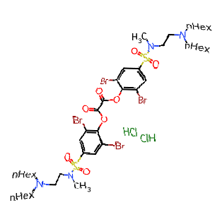 CCCCCCN(CCCCCC)CCN(C)S(=O)(=O)c1cc(Br)c(OC(=O)C(=O)Oc2c(Br)cc(S(=O)(=O)N(C)CCN(CCCCCC)CCCCCC)cc2Br)c(Br)c1.Cl.Cl